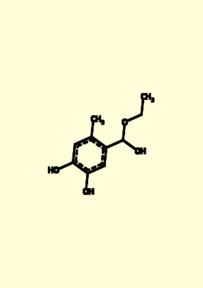 CCOC(O)c1cc(O)c(O)cc1C